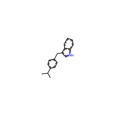 CC(C)c1ccc(Cc2[c][nH]c3ccccc23)cc1